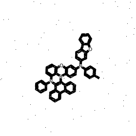 Cc1ccc(N(c2ccc3c(c2)Oc2cccc4c2B3c2c(c3ccccc3c3ccccc23)N4c2ccccc2)c2ccc3c(c2)oc2ccccc23)cc1